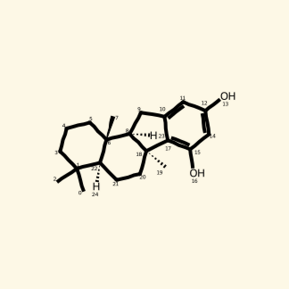 CC1(C)CCC[C@]2(C)[C@H]3Cc4cc(O)cc(O)c4[C@@]3(C)CC[C@@H]12